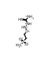 CS(=O)(=O)CCONNC(=N)N